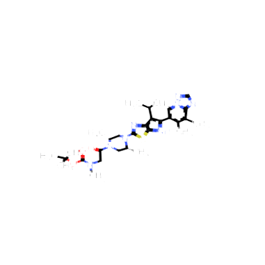 Cc1c(-c2[nH]c3sc(N4C[C@@H](C)N(C(=O)CN(C)C(=O)OC(C)(C)C)C[C@@H]4C)nc3c2C(C)C)cn2ncnc2c1C